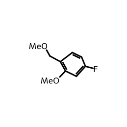 COCc1ccc(F)cc1OC